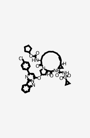 O=C(N[C@H]1CCCCC/C=C\[C@@H]2C[C@@]2(C(=O)NS(=O)(=O)C2CC2)NC(=O)[C@@H]2C[C@@H](Oc3cc(-c4ccc(Cl)cc4)nc4c5ccccc5nn34)CN2C1=O)OC1CCCC1